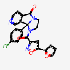 O=C(c1cc(-c2ccco2)on1)N1CCN2C(=O)c3ccncc3C12c1ccc(Cl)cc1